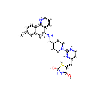 O=C1NC(=O)C(=Cc2ccnc(N3CCC(CNCc4cccnc4-c4ccc(C(F)(F)F)cc4C(F)(F)F)CC3)n2)S1